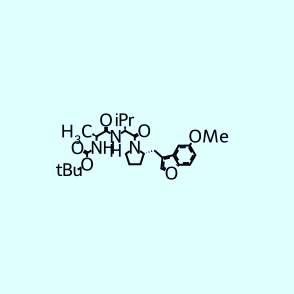 COc1ccc2occ(C[C@@H]3CCCN3C(=O)[C@@H](NC(=O)[C@H](C)NC(=O)OC(C)(C)C)C(C)C)c2c1